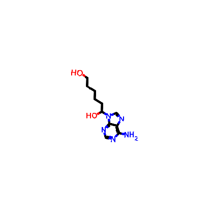 Nc1ncnc2c1ncn2C(O)CCCCCO